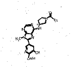 CCC(=O)N1CC[C@H](Nc2ncnc3c2nc(-c2cnc(OC)c(C#N)c2)n3C)C1